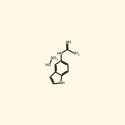 N=C(N)Nc1ccc2[nH]ccc2c1.O=[N+]([O-])O